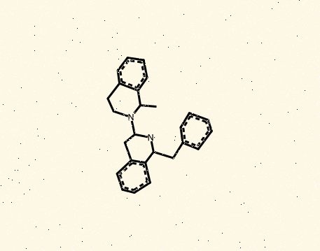 CC1c2ccccc2CCN1C1Cc2ccccc2C(Cc2ccccc2)[N]1